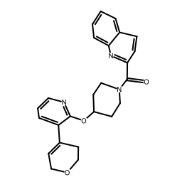 O=C(c1ccc2ccccc2n1)N1CCC(Oc2ncccc2C2=CCOCC2)CC1